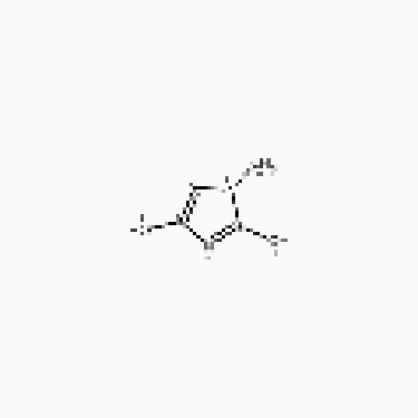 Cn1cc(O)nc1O